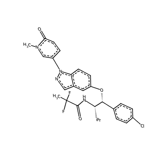 CC(C)[C@H](NC(=O)C(C)(F)F)[C@H](Oc1ccc2c(cnn2-c2ccc(=O)n(C)c2)c1)c1ccc(Cl)cc1